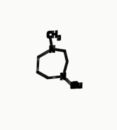 CN1CCCN(C(C)(C)C)CC1